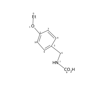 CCOc1ccc(CNC(=O)O)cc1